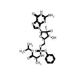 CC(C)OC(=O)[C@H](C)NP(=S)(OC[C@H]1O[C@@H](n2cnc3c(=O)[nH]c(N)nc32)[C@@](F)(Cl)[C@@H]1O)Oc1ccccc1